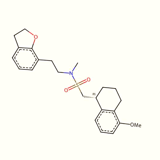 COc1cccc2c1CCC[C@H]2CS(=O)(=O)N(C)CCc1cccc2c1OCC2